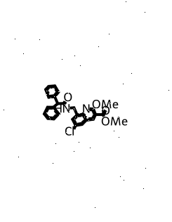 COC(=O)c1cc2cc(Cl)cc(CNC(=O)C(c3ccccc3)c3ccccc3)c2nc1OC